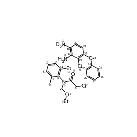 CCOCN(C(=O)CCl)c1c(C)cccc1CC.Nc1c([N+](=O)[O-])ccc(Oc2ccccc2)c1Cl